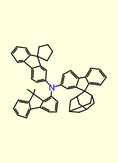 CC1(C)c2ccccc2-c2cccc(N(c3ccc4c(c3)C3(CCCC3)c3ccccc3-4)c3ccc4c(c3)C3(c5ccccc5-4)C4CC5CC(C4)CC3C5)c21